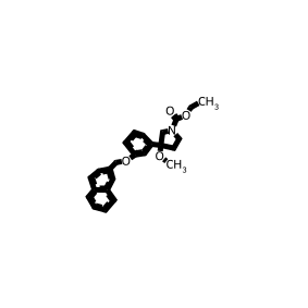 CCOC(=O)N1CCC(OC)(c2cccc(OCc3ccc4ccccc4c3)c2)C1